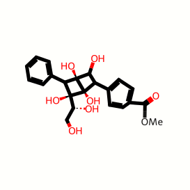 COC(=O)c1ccc(C2C(O)[C@@]3(O)C(c4ccccc4)[C@@](O)([C@H](O)CO)[C@@]23O)cc1